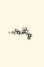 COC(=O)N(C)c1ccc(Nc2cc(NCc3cccc4ccsc34)c(C(N)=O)cn2)cc1